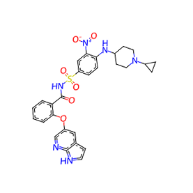 O=C(NS(=O)(=O)c1ccc(NC2CCN(C3CC3)CC2)c([N+](=O)[O-])c1)c1ccccc1Oc1cnc2[nH]ccc2c1